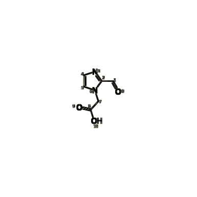 O=Cc1nccn1CC(=O)O